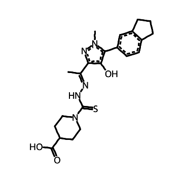 CC(=NNC(=S)N1CCC(C(=O)O)CC1)c1nn(C)c(-c2ccc3c(c2)CCC3)c1O